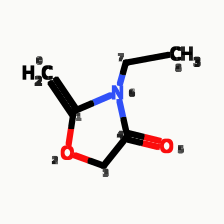 C=C1OCC(=O)N1CC